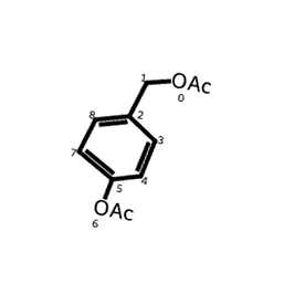 CC(=O)OCc1ccc(OC(C)=O)cc1